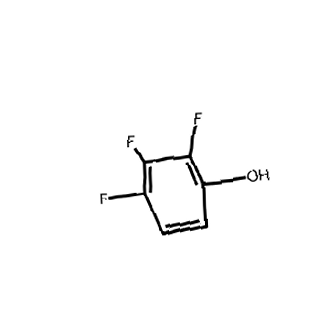 Oc1ccc(F)c(F)c1F